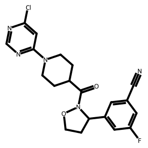 N#Cc1cc(F)cc(C2CCON2C(=O)C2CCN(c3cc(Cl)ncn3)CC2)c1